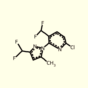 Cc1cc(C(F)F)nn1-c1nc(Cl)ccc1C(F)F